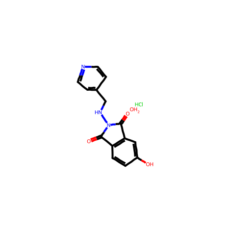 Cl.O.O=C1c2ccc(O)cc2C(=O)N1NCc1ccncc1